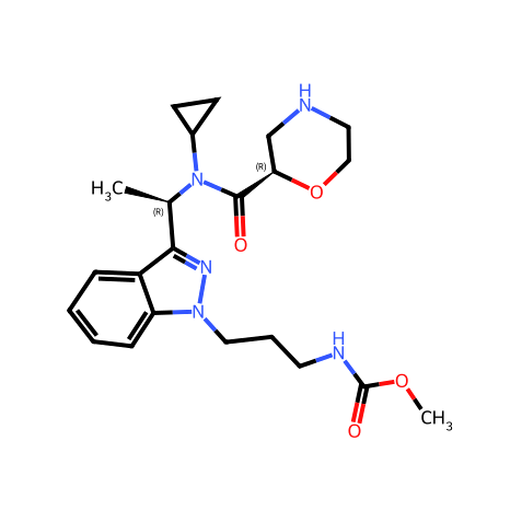 COC(=O)NCCCn1nc([C@@H](C)N(C(=O)[C@H]2CNCCO2)C2CC2)c2ccccc21